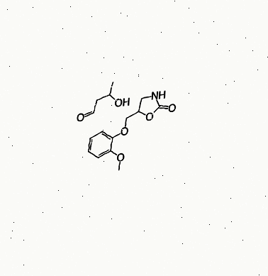 CC(O)CC=O.COc1ccccc1OCC1CNC(=O)O1